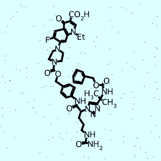 CCn1cc(C(=O)O)c(=O)c2cc(F)c(N3CCN(C(=O)OCc4ccc(NC(=O)C(CCCNC(N)=O)n5cc(C(C)(C)NC(=O)OCc6ccccc6)nn5)cc4)CC3)cc21